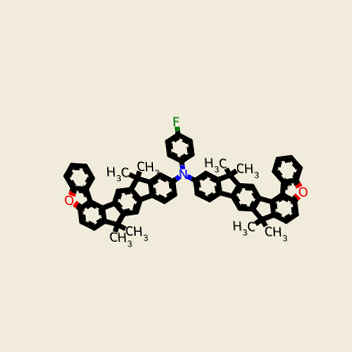 CC1(C)c2cc(N(c3ccc(F)cc3)c3ccc4c(c3)C(C)(C)c3cc5c(cc3-4)C(C)(C)c3ccc4oc6ccccc6c4c3-5)ccc2-c2cc3c(cc21)-c1c(ccc2oc4ccccc4c12)C3(C)C